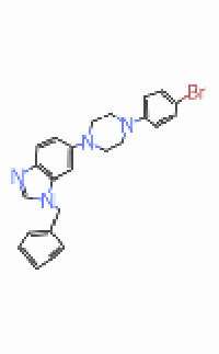 Brc1ccc(N2CCN(c3ccc4ncn(Cc5ccccc5)c4c3)CC2)cc1